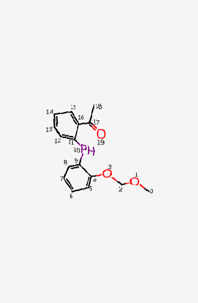 COCOc1ccccc1Pc1ccccc1C(C)=O